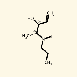 C=C[C@H](O)[C@@H](C)N(I)CCC